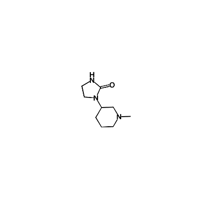 CN1CCCC(N2CCNC2=O)C1